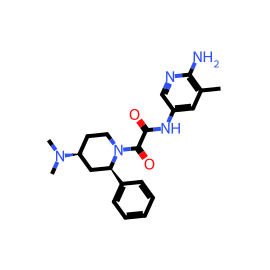 Cc1cc(NC(=O)C(=O)N2CC[C@H](N(C)C)C[C@@H]2c2ccccc2)cnc1N